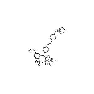 BO[C@@H]1[C@H](c2ccc(OCc3ccc(C[N+]45CCN(CC4)CC5)cc3)cc2)c2cc(NC)ccc2S(=O)(=O)CC1(C)C